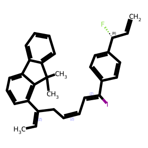 C=C[C@@H](F)c1ccc(/C(I)=C/C=C\C/C(=C/C)c2cccc3c2C(C)(C)c2ccccc2-3)cc1